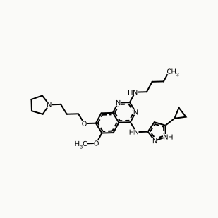 CCCCNc1nc(Nc2cc(C3CC3)[nH]n2)c2cc(OC)c(OCCCN3CCCC3)cc2n1